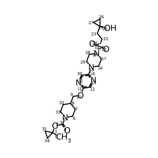 CC1(OC(=O)N2CCC(COc3cnc(N4CCN(S(=O)(=O)CCC5(O)CC5)CC4)cn3)CC2)CC1